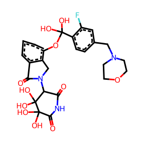 O=C1NC(=O)C(O)(O)C(O)(O)C1N1Cc2c(OC(O)(O)c3ccc(CN4CCOCC4)cc3F)cccc2C1=O